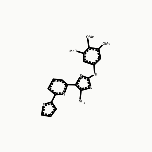 COc1cc(Nc2nc(N)c(-c3cccc(-c4cccs4)n3)s2)cc(OC)c1OC